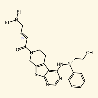 CCN(CC)C/C=C/C(=O)N1CCc2c(sc3ncnc(N[C@H](CCO)c4ccccc4)c23)C1